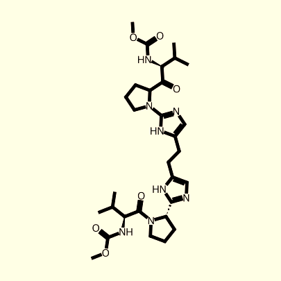 COC(=O)N[C@H](C(=O)C1CCCN1c1ncc(CCc2cnc([C@@H]3CCCN3C(=O)[C@@H](NC(=O)OC)C(C)C)[nH]2)[nH]1)C(C)C